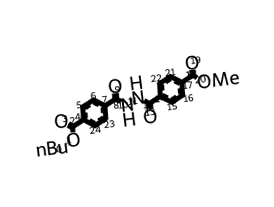 CCCCOC(=O)c1ccc(C(=O)NNC(=O)c2ccc(C(=O)OC)cc2)cc1